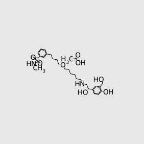 CC(=O)O.CNS(=O)(=O)c1cccc(CCCCOCCCCCCNC[C@H](O)c2ccc(O)c(CO)c2)c1